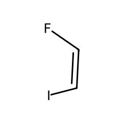 F/C=C\I